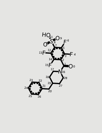 O=C(c1c(F)c(F)c(S(=O)(=O)O)c(F)c1F)N1CCC(Cc2ccccc2)CC1